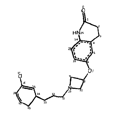 O=C1CCc2cc(OC3CN(CCCC4C=C(Cl)C=CC4)C3)ccc2N1